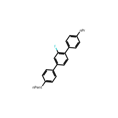 CCCCCc1ccc(-c2ccc(-c3ccc(CCC)cc3)c(F)c2)cc1